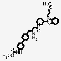 COCCCn1c(C2CCCN(C(=O)CC(N)Cc3ccc(-c4ccc(NC(=O)OC)cc4)cc3)C2)nc2ccccc21